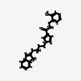 O=C(NCc1ncccc1Cl)c1cnn(CCNCc2nc3ccccc3[nH]2)c1